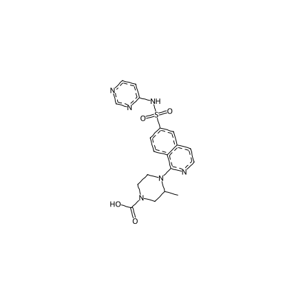 CC1CN(C(=O)O)CCN1c1nccc2cc(S(=O)(=O)Nc3ccncn3)ccc12